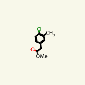 COC([O])Cc1ccc(Cl)c(C)c1